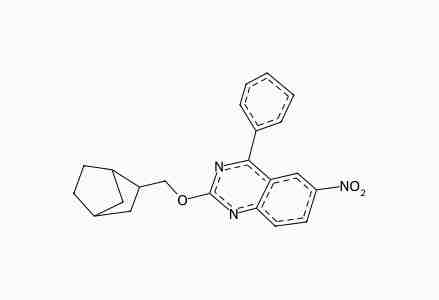 O=[N+]([O-])c1ccc2nc(OCC3CC4CCC3C4)nc(-c3ccccc3)c2c1